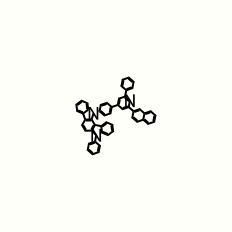 c1ccc(-c2cc(-c3ccc(-n4c5ccccc5c5ccc6c(c7ccccc7n6-c6ccccc6)c54)cc3)cc(-c3ccc4ccccc4c3)n2)cc1